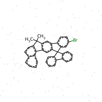 CC1(C)c2cc3c(cc2-c2c1ccc1ccccc21)C1(c2ccccc2-c2ccccc21)c1cc(Br)ccc1-3